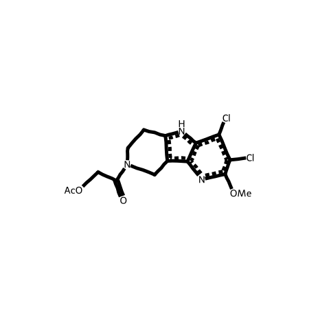 COc1nc2c3c([nH]c2c(Cl)c1Cl)CCN(C(=O)COC(C)=O)C3